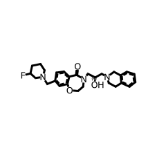 O=C1c2ccc(CN3CCCC(F)C3)cc2OCCN1C[C@H](O)CN1CCc2ccccc2C1